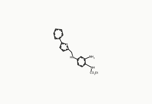 CCOC(=O)Nc1ccc(NCc2ccc(-c3ccccc3)s2)cc1N